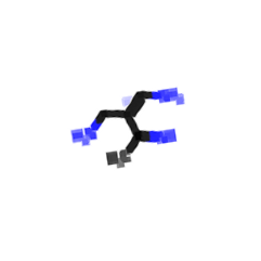 CC(=N)/C(=C\N)CN